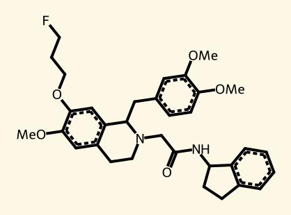 COc1ccc(CC2c3cc(OCCCF)c(OC)cc3CCN2CC(=O)NC2CCc3ccccc32)cc1OC